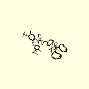 Cc1cc2c(cc1N(C)C)Sc1cc(N(C)C)c(C)cc1N2C(=O)OCc1ccc(O[Si](c2ccccc2)(c2ccccc2)C(C)(C)C)cc1